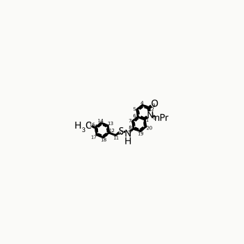 CCCn1c(=O)ccc2cc(NSCc3ccc(C)cc3)ccc21